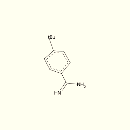 CC(C)(C)c1ccc(C(=N)N)cc1